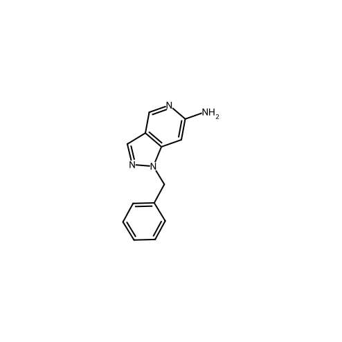 Nc1cc2c(cn1)cnn2Cc1ccccc1